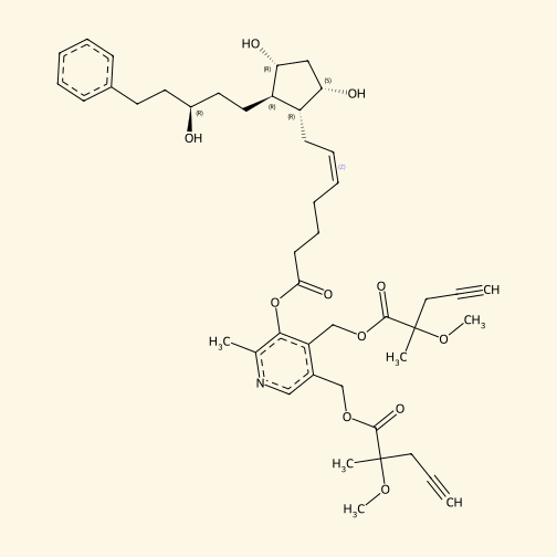 C#CCC(C)(OC)C(=O)OCc1cnc(C)c(OC(=O)CCC/C=C\C[C@@H]2[C@@H](CC[C@@H](O)CCc3ccccc3)[C@H](O)C[C@@H]2O)c1COC(=O)C(C)(CC#C)OC